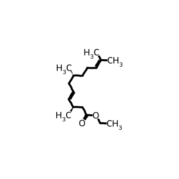 CCOC(=O)C[C@@H](C)/C=C/C[C@H](C)CCC=C(C)C